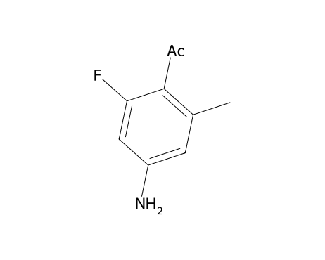 CC(=O)c1c(C)cc(N)cc1F